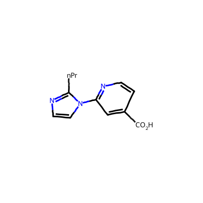 CCCc1nccn1-c1cc(C(=O)O)ccn1